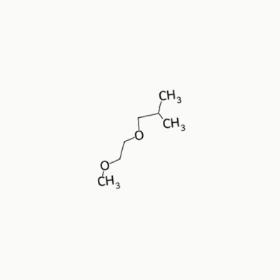 COCCOCC(C)C